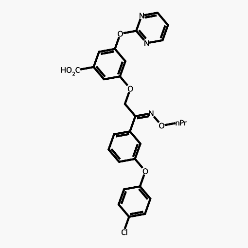 CCCON=C(COc1cc(Oc2ncccn2)cc(C(=O)O)c1)c1cccc(Oc2ccc(Cl)cc2)c1